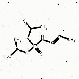 CN=CNP(=S)(OC(C)C)SC(C)C